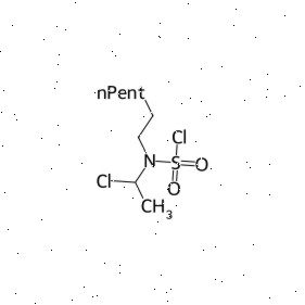 CCCCCCCN(C(C)Cl)S(=O)(=O)Cl